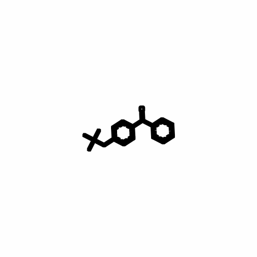 CC(C)(C)Cc1ccc(C(=O)c2ccccc2)cc1